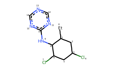 CCC1CC(Cl)CC(Cl)C1Nc1ncncn1